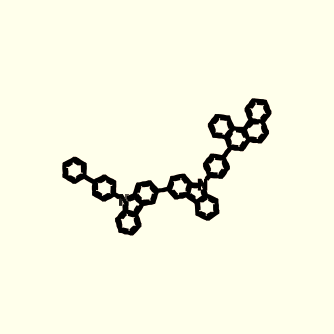 c1ccc(-c2ccc(-n3c4ccccc4c4cc(-c5ccc6c(c5)c5ccccc5n6-c5ccc(-c6cc7ccc8ccccc8c7c7ccccc67)cc5)ccc43)cc2)cc1